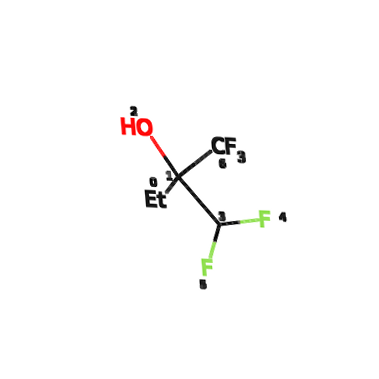 CCC(O)(C(F)F)C(F)(F)F